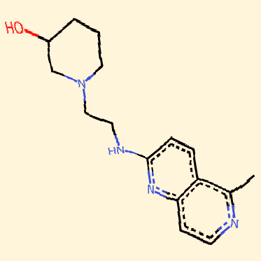 Cc1nccc2nc(NCCN3CCCC(O)C3)ccc12